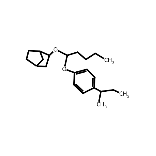 CCCCC(Oc1ccc(C(C)CC)cc1)OC1CC2CCC1C2